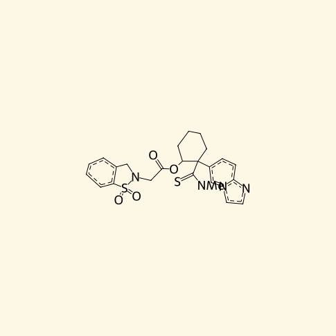 CNC(=S)C1(c2ccc3nccn3c2)CCCCC1OC(=O)CN1Cc2ccccc2S1(=O)=O